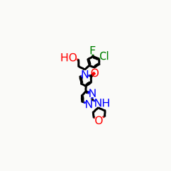 O=c1cc(-c2ccnc(NC3CCOCC3)n2)ccn1C(CCO)c1ccc(Cl)c(F)c1